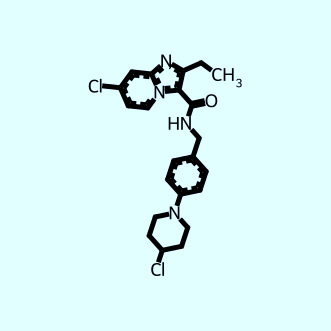 CCc1nc2cc(Cl)ccn2c1C(=O)NCc1ccc(N2CCC(Cl)CC2)cc1